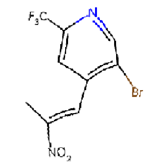 CC(=Cc1cc(C(F)(F)F)ncc1Br)[N+](=O)[O-]